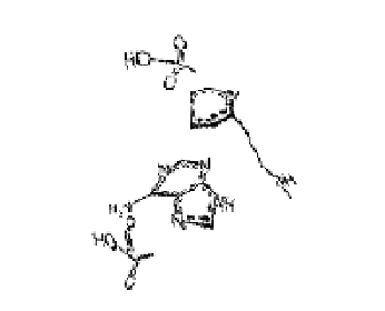 CNCCc1ccccn1.CS(=O)(=O)O.CS(=O)(=O)O.Nc1ncnc2[nH]cnc12